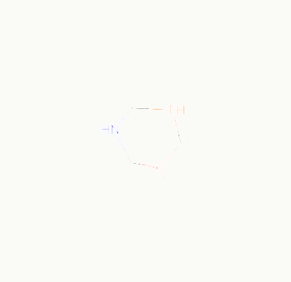 C1NCPCO1